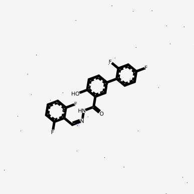 O=C(N/N=C\c1c(F)cccc1F)c1cc(-c2ccc(F)cc2F)ccc1O